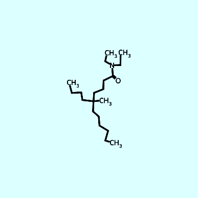 CCCCCCC(C)(CCCC)CCCC(=O)N(CC)CC